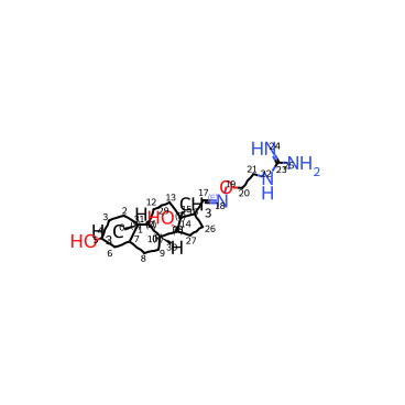 C[C@]12CCC(O)CC1CC[C@@H]1[C@H]2CC[C@]2(C)C(/C=N/OCCNC(=N)N)CC[C@@]12O